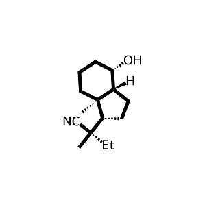 CC[C@](C)(C#N)[C@H]1CC[C@H]2[C@@H](O)CCC[C@@]21C